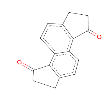 O=C1CCc2ccc3c4c(ccc3c21)CCC4=O